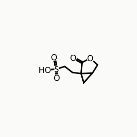 O=C1OCC2CC12CCS(=O)(=O)O